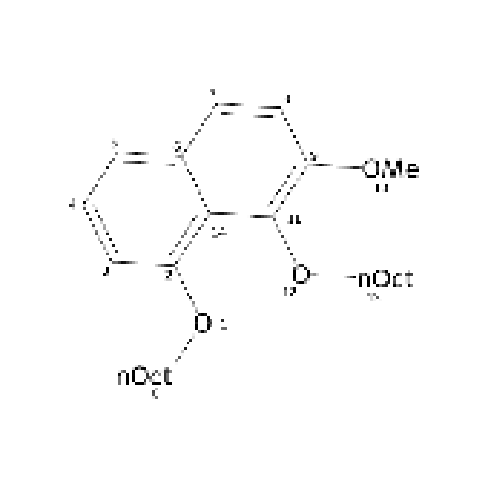 CCCCCCCCOc1cccc2ccc(OC)c(OCCCCCCCC)c12